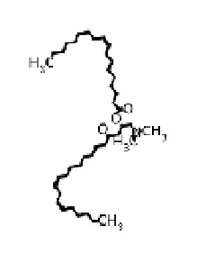 CCCCC/C=C\C/C=C\CCCCCCCC(=O)CC(CN(C)C)OC(=O)CCCCCCC/C=C\C/C=C\CCCCC